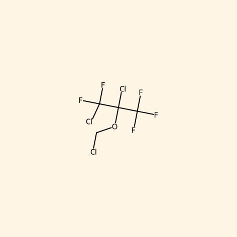 FC(F)(F)C(Cl)(OCCl)C(F)(F)Cl